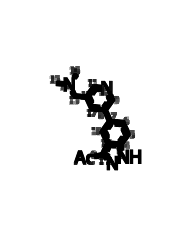 CC(=O)c1n[nH]c2ccc(-c3cncc(CN(C)C)c3)cc12